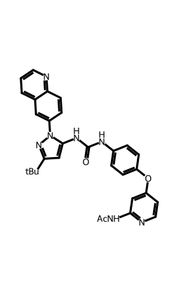 CC(=O)Nc1cc(Oc2ccc(NC(=O)Nc3cc(C(C)(C)C)nn3-c3ccc4ncccc4c3)cc2)ccn1